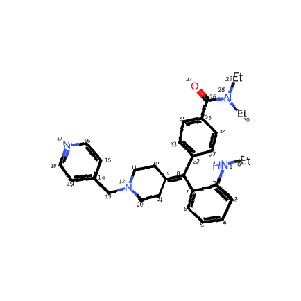 CCNc1ccccc1C(=C1CCN(Cc2ccncc2)CC1)c1ccc(C(=O)N(CC)CC)cc1